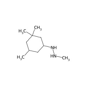 CNNC1CC(C)CC(C)(C)C1